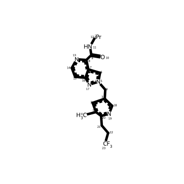 Cc1cc(Cn2cc3c(C(=O)NC(C)C)nccc3n2)cnc1CCC(F)(F)F